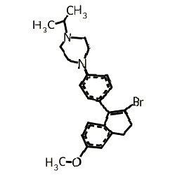 COc1ccc2c(c1)CCC(Br)=C2c1ccc(N2CCN(C(C)C)CC2)cc1